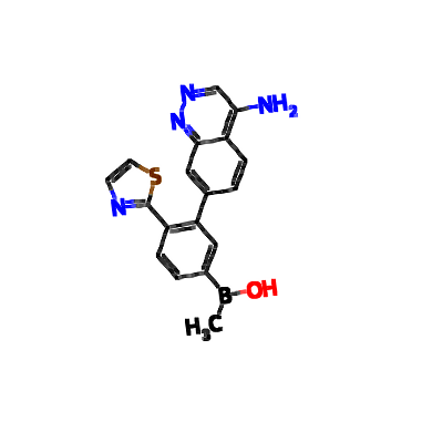 CB(O)c1ccc(-c2nccs2)c(-c2ccc3c(N)cnnc3c2)c1